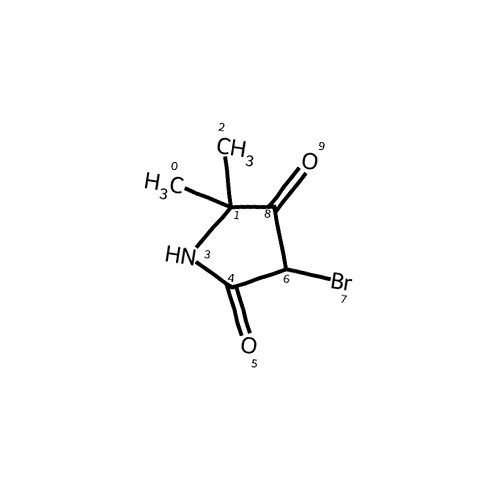 CC1(C)NC(=O)C(Br)C1=O